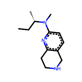 CC[C@H](C)N(C)c1ccc2c(n1)CCNC2